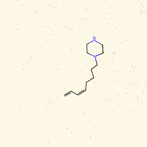 C=C/C=C\CCCCN1CCNCC1